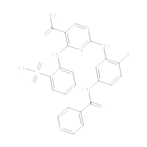 NC(=O)c1cnc(Nc2cc(NC(=O)c3ccncc3)ccc2F)nc1Nc1ccccc1S(N)(=O)=O